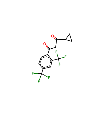 O=C(CC(=O)C1CC1)c1ccc(C(F)(F)F)cc1C(F)(F)F